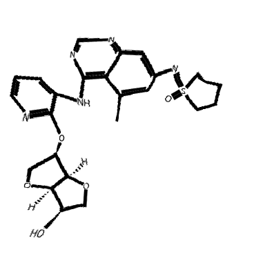 Cc1cc(N=S2(=O)CCCC2)cc2ncnc(Nc3cccnc3O[C@@H]3CO[C@H]4[C@@H]3OC[C@H]4O)c12